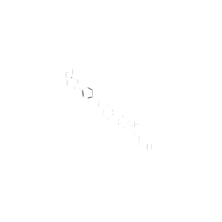 CCCCC[SiH]1CCC([C@H]2CC[C@H](CCc3ccc(OCC(F)(F)F)cc3)CC2)CC1